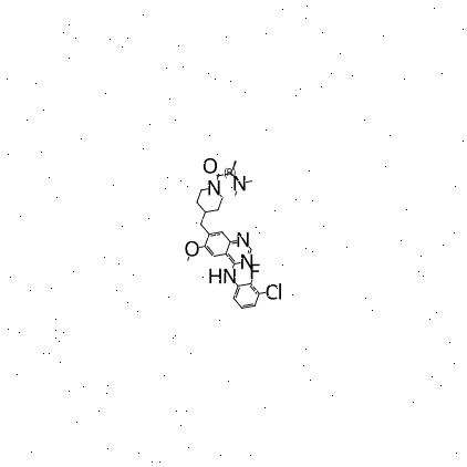 COc1cc2c(Nc3cccc(Cl)c3F)ncnc2cc1CC1CCN(C(=O)[C@@H](C)N(C)C)CC1